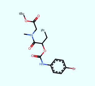 CC(C)CC(OC(=O)Nc1ccc(Br)cc1)C(=O)N(C)CC(=O)OC(C)(C)C